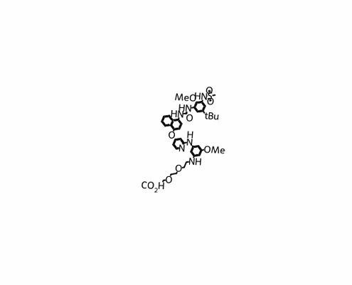 COc1cc(NCCOCCOCC(=O)O)cc(Nc2cc(Oc3ccc(NC(=O)Nc4cc(C(C)(C)C)cc(NS(C)(=O)=O)c4OC)c4ccccc34)ccn2)c1